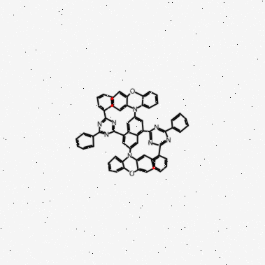 c1ccc(-c2nc(-c3ccccc3)nc(-c3cc(N4c5ccccc5Oc5ccccc54)cc4c(-c5nc(-c6ccccc6)nc(-c6ccccc6)n5)cc(N5c6ccccc6Oc6ccccc65)cc34)n2)cc1